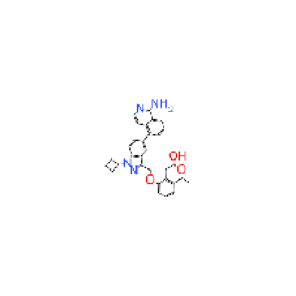 CCc1cccc(OCc2nn(C3CCC3)c3ccc(-c4cccc5c(N)nccc45)cc23)c1CC(=O)O